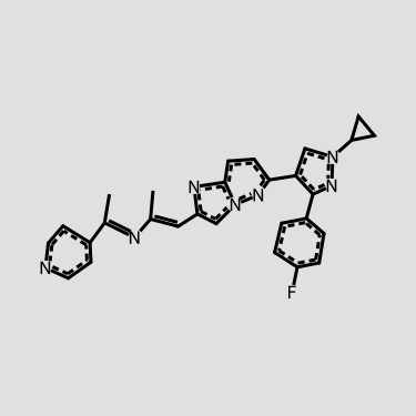 CC(=C\c1cn2nc(-c3cn(C4CC4)nc3-c3ccc(F)cc3)ccc2n1)/N=C(\C)c1ccncc1